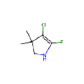 CC1(C)CNC(F)=C1Cl